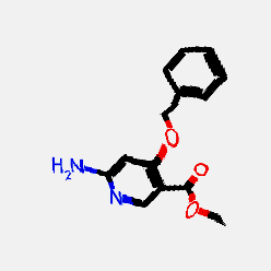 COC(=O)c1cnc(N)cc1OCc1ccccc1